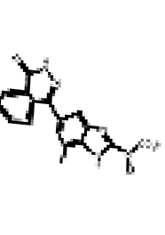 CCN(C(=O)O)c1nc2cc(-c3n[nH]c(=O)c4ccccc34)cc(C)c2[nH]1